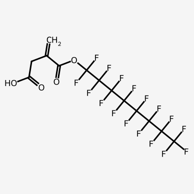 C=C(CC(=O)O)C(=O)OC(F)(F)C(F)(F)C(F)(F)C(F)(F)C(F)(F)C(F)(F)C(F)(F)C(F)(F)F